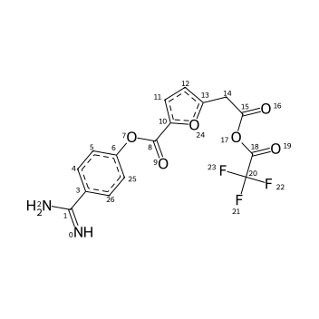 N=C(N)c1ccc(OC(=O)c2ccc(CC(=O)OC(=O)C(F)(F)F)o2)cc1